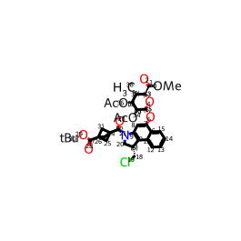 COC(=O)[C@H]1O[C@@H](Oc2cc3c(c4ccccc24)[C@H](CCl)CN3C(=O)C23CC(C(=O)OC(C)(C)C)(C2)C3)[C@H](OC(C)=O)[C@@H](OC(C)=O)[C@@H]1C